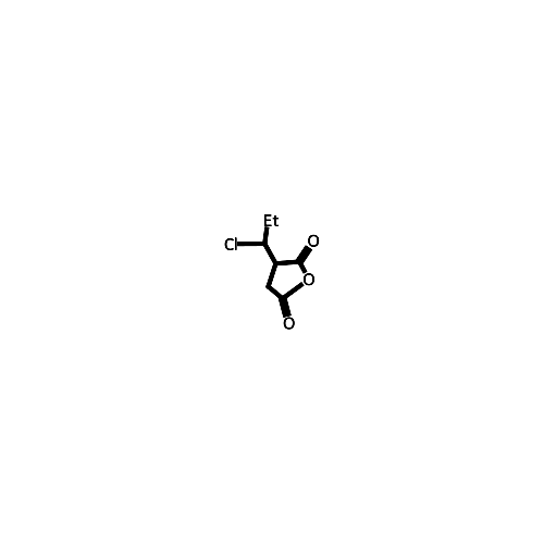 CCC(Cl)C1CC(=O)OC1=O